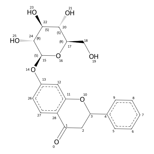 O=C1CC(c2ccccc2)Oc2cc(O[C@@H]3O[C@H](CO)[C@@H](O)[C@H](O)[C@H]3O)ccc21